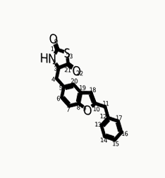 O=C1NC(Cc2ccc3oc(Cc4ccccc4)cc3c2)C(=O)S1